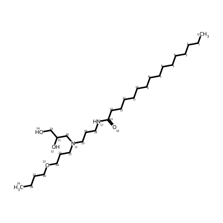 CCCCCCCCCCCCCCCC(=O)NCCCN(CCCOCCCC)CC(O)CO